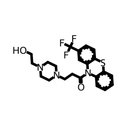 O=C(CCN1CCN(CCO)CC1)N1c2ccccc2Sc2ccc(C(F)(F)F)cc21